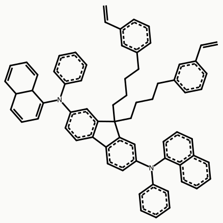 C=Cc1cccc(CCCCC2(CCCCc3cccc(C=C)c3)c3cc(N(C4=CC=CC5C=CC=CC45)c4ccccc4)ccc3-c3ccc(N(c4ccccc4)c4cccc5ccccc45)cc32)c1